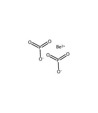 O=P(=O)[O-].O=P(=O)[O-].[Be+2]